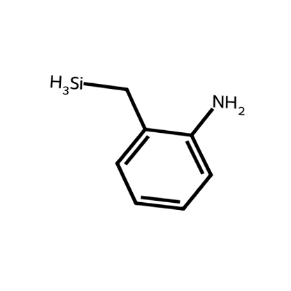 Nc1ccccc1C[SiH3]